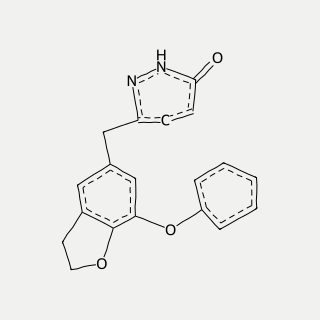 O=c1ccc(Cc2cc3c(c(Oc4ccccc4)c2)OCC3)n[nH]1